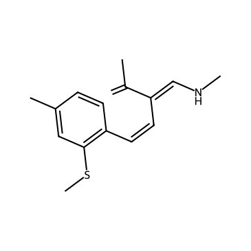 C=C(C)C(/C=C\c1ccc(C)cc1SC)=C/NC